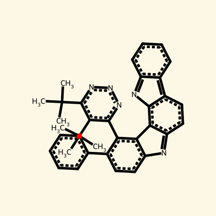 CC(C)(C)c1nnnc(-c2c(-c3ccccc3)ccc3c2-c2c4c(ccc2=N3)=c2ccccc2=N4)c1C(C)(C)C